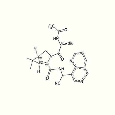 CC(C)(C)[C@H](NC(=O)C(F)(F)F)C(=O)N1C[C@H]2[C@@H]([C@H]1C(=O)NC(C#N)c1cncc3cccnc13)C2(C)C